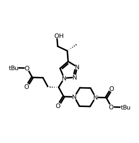 C[C@@H](CO)c1cn([C@@H](CCC(=O)OC(C)(C)C)C(=O)N2CCN(C(=O)OC(C)(C)C)CC2)nn1